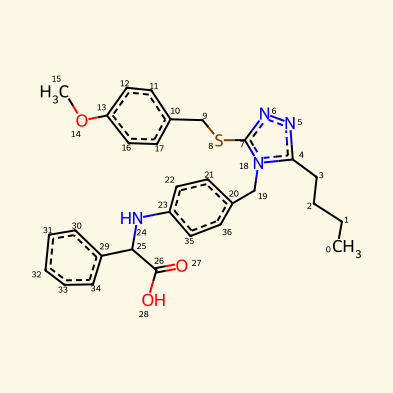 CCCCc1nnc(SCc2ccc(OC)cc2)n1Cc1ccc(NC(C(=O)O)c2ccccc2)cc1